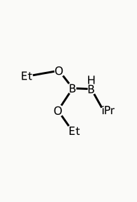 CCOB(BC(C)C)OCC